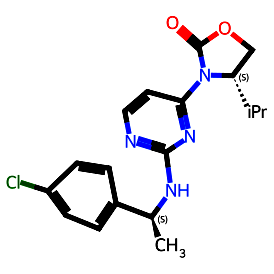 CC(C)[C@H]1COC(=O)N1c1ccnc(N[C@@H](C)c2ccc(Cl)cc2)n1